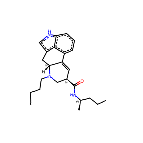 CCCCN1C[C@H](C(=O)N[C@H](C)CCC)C=C2c3cccc4[nH]cc(c34)C[C@H]21